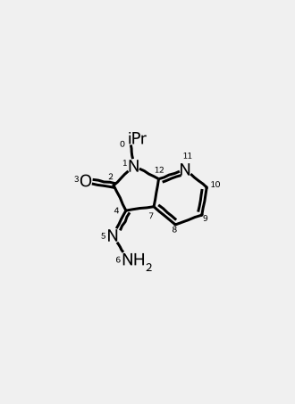 CC(C)N1C(=O)/C(=N/N)c2cccnc21